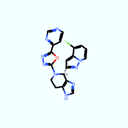 Fc1cccn2nc([C@@H]3c4nc[nH]c4CCN3c3nnc(-c4ccncn4)o3)cc12